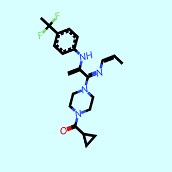 C=C(Nc1ccc(C(C)(F)F)cc1)/C(=N\C=C/C)N1CCN(C(=O)C2CC2)CC1